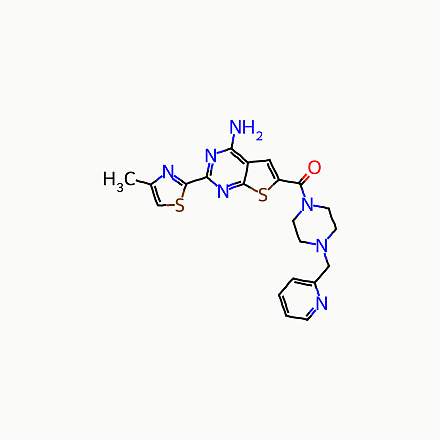 Cc1csc(-c2nc(N)c3cc(C(=O)N4CCN(Cc5ccccn5)CC4)sc3n2)n1